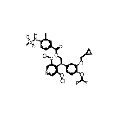 Cc1cc(C(=O)OCC(c2ccc(OC(F)F)c(OCC3CC3)c2)c2c(OCl)cncc2OCl)ccc1NS(C)(=O)=O